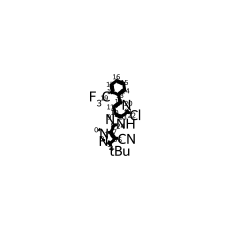 Cn1nc(C(C)(C)C)c(C#N)c1-c1nc2cc(-c3ccccc3C(F)(F)F)nc(Cl)c2[nH]1